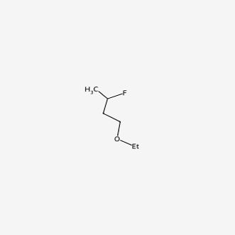 [CH2]COCCC(C)F